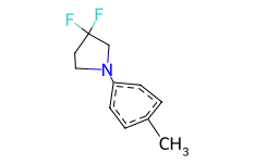 Cc1ccc(N2CCC(F)(F)C2)cc1